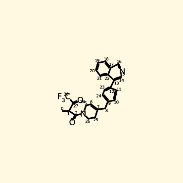 CC(C(=O)N1CC=C(Cc2ccc(-c3cncc4ccccc34)cc2)CC1)C(=O)C(F)(F)F